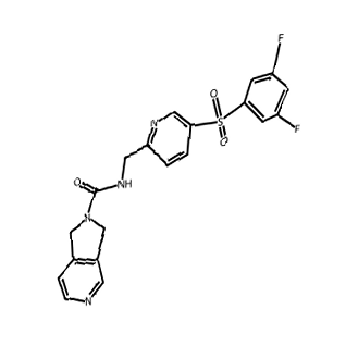 O=C(NCc1ccc(S(=O)(=O)c2cc(F)cc(F)c2)cn1)N1Cc2ccncc2C1